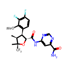 COc1c([C@H]2[C@H](C(=O)Nc3cc(C(N)=O)ncn3)O[C@@](C)(C(F)(F)F)[C@H]2C)ccc(F)c1F